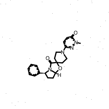 Cn1nc(N2CCC3(CC2)O[C@@H]2CC[C@@H](c4ccccc4)N2C3=O)ccc1=O